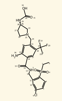 CCS(=O)(=O)c1ccc(Cl)cc1CNC(=O)c1cc(C(F)(F)F)c(CN2CC[C@@H](NC(=O)O)C2)cc1N